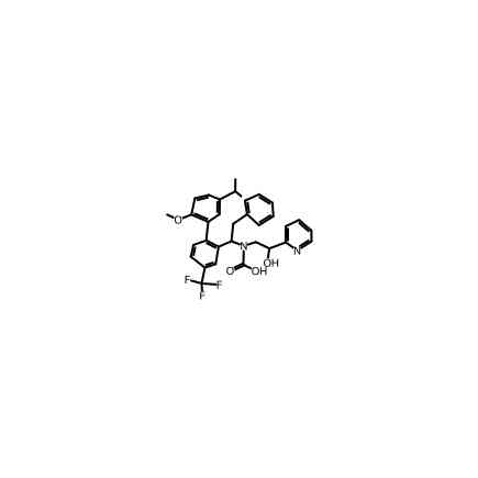 COc1ccc(C(C)C)cc1-c1ccc(C(F)(F)F)cc1C(Cc1ccccc1)N(CC(O)c1ccccn1)C(=O)O